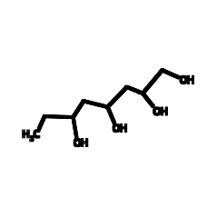 CCC(O)CC(O)C[C](O)CO